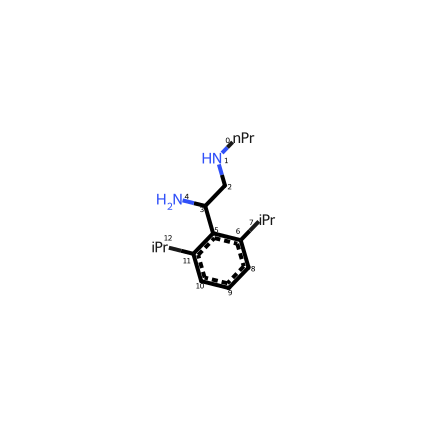 CCCNCC(N)c1c(C(C)C)cccc1C(C)C